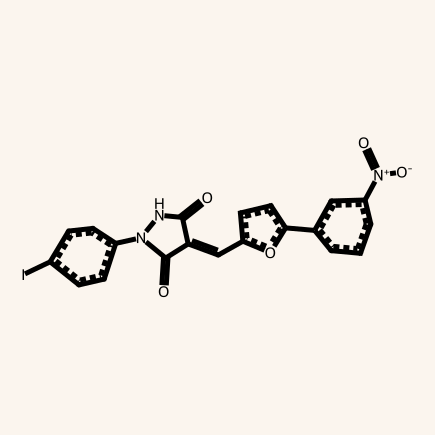 O=C1NN(c2ccc(I)cc2)C(=O)/C1=C/c1ccc(-c2cccc([N+](=O)[O-])c2)o1